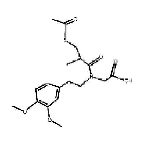 COc1ccc(CCN(CC(=O)O)C(=O)C(C)CSC(C)=O)cc1OC